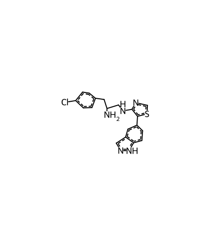 NC(CNc1ncsc1-c1ccc2[nH]ncc2c1)Cc1ccc(Cl)cc1